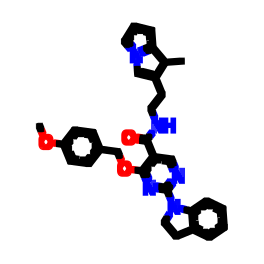 COc1ccc(COc2nc(N3CCc4ccccc43)ncc2C(=O)NCCC2=Cn3cccc3C2C)cc1